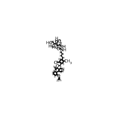 Cc1cc(COC2(c3cnccc3-c3ccccc3OC3CC3)CC2)c(Cl)cc1CCCCNC(=O)N[C@@H](CO)[C@@H](O)[C@H](O)[C@H](O)CO